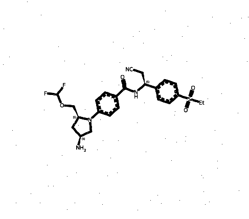 CCS(=O)(=O)c1ccc([C@H](CC#N)NC(=O)c2ccc(N3C[C@@H](N)C[C@H]3COC(F)F)cc2)cc1